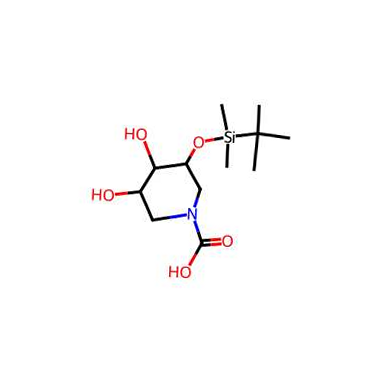 CC(C)(C)[Si](C)(C)OC1CN(C(=O)O)CC(O)C1O